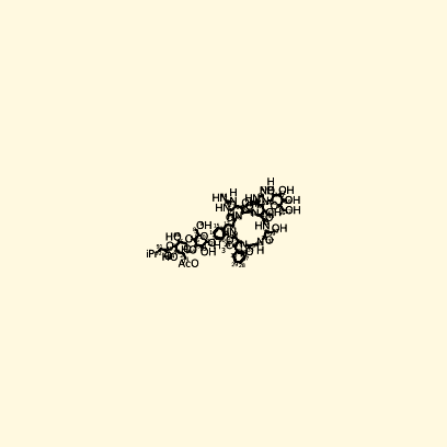 CC(=O)OCC1OC(OC2C(CO)OC(Oc3ccc(CC4NC(=O)C(C(C)c5ccccc5)NC(=O)CNC(=O)C(CO)NC(=O)C(C(O)C5CNC(=N)N5C5OC(CO)C(O)C(O)C5O)NC(=O)C(C(O)C5CNC(=N)N5)NC4=O)cc3)C(O)C2O)C(O)C(OC(=O)CC(C)C)C1O